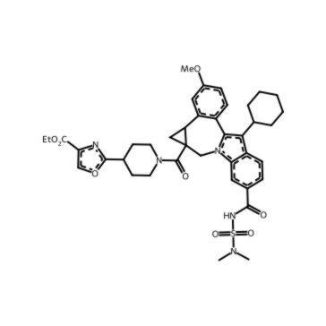 CCOC(=O)c1coc(C2CCN(C(=O)C34CC3c3cc(OC)ccc3-c3c(C5CCCCC5)c5ccc(C(=O)NS(=O)(=O)N(C)C)cc5n3C4)CC2)n1